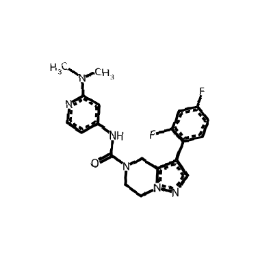 CN(C)c1cc(NC(=O)N2CCn3ncc(-c4ccc(F)cc4F)c3C2)ccn1